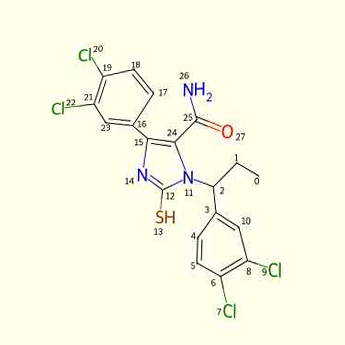 CCC(c1ccc(Cl)c(Cl)c1)n1c(S)nc(-c2ccc(Cl)c(Cl)c2)c1C(N)=O